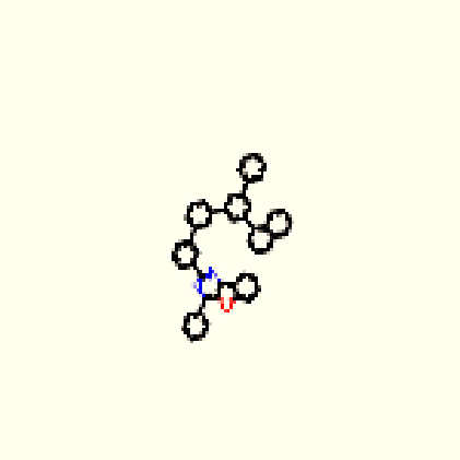 c1ccc(-c2cc(-c3cccc(-c4cccc(-c5nc(-c6ccccc6)c6oc7ccccc7c6n5)c4)c3)cc(-c3cccc4ccccc34)c2)cc1